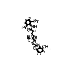 CNC.Cc1cccc2oc(SCCCCCC(=O)Nc3c(C(C)C)cccc3C(C)C)nc12